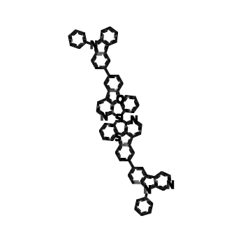 c1ccc(-n2c3ccccc3c3cc(-c4ccc5oc6c([Si](c7ccccc7)(c7ccccc7)c7nccc8c7sc7ccc(-c9ccc%10c(c9)c9ccncc9n%10-c9ccccc9)cc78)nccc6c5c4)ccc32)cc1